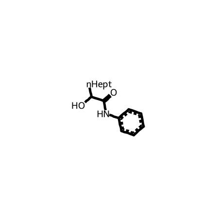 CCCCCCCC(O)C(=O)Nc1ccccc1